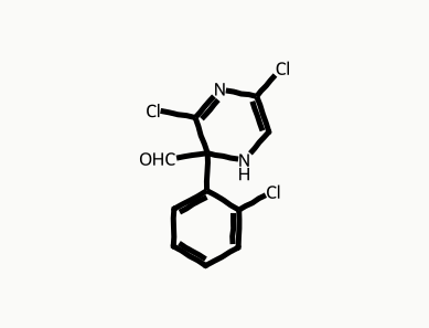 O=CC1(c2ccccc2Cl)NC=C(Cl)N=C1Cl